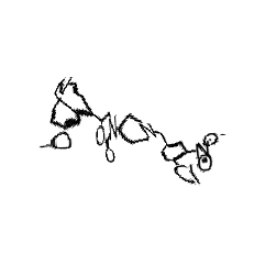 COc1ccc2nccc(C3CN(C4CCN(Cc5ccc(Cl)c([N+](=O)[O-])c5)CC4)C(=O)O3)c2c1